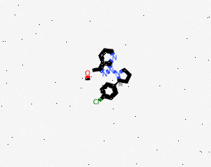 C=O.Cc1nn(N2CCC[C@H]2c2ccc(Cl)cc2)c2ncccc12